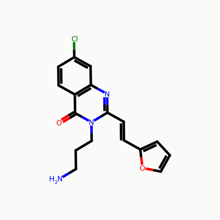 NCCCn1c(C=Cc2ccco2)nc2cc(Cl)ccc2c1=O